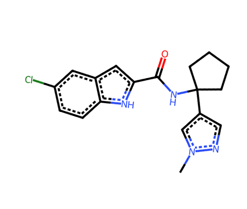 Cn1cc(C2(NC(=O)c3cc4cc(Cl)ccc4[nH]3)CCCC2)cn1